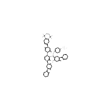 CC(C)(C)c1ccc(Nc2cc3c(cc2-c2ccc4c5cc6c(cc5n5c4c2Bc2cc4c(cc2-5)sc2ccccc24)sc2ccccc26)sc2cc4c(cc23)C(C)(C)CCC4(C)C)cc1